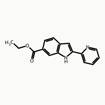 CCOC(=O)c1ccc2cc(-c3ccccn3)[nH]c2c1